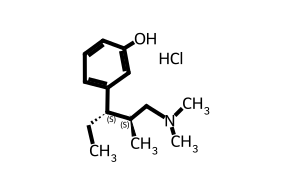 CC[C@H](c1cccc(O)c1)[C@H](C)CN(C)C.Cl